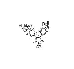 NS(=O)(=O)c1ccc(C2=C(c3ccc(C(F)(F)F)cn3)CC3(CC3)C2)cc1